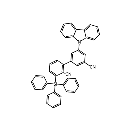 N#Cc1cc(-c2cccc([Si](c3ccccc3)(c3ccccc3)c3ccccc3)c2C#N)cc(-n2c3ccccc3c3ccccc32)c1